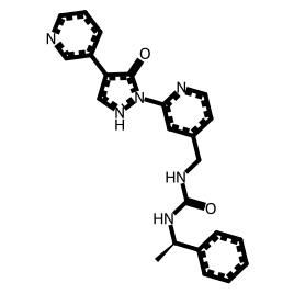 C[C@@H](NC(=O)NCc1ccnc(-n2[nH]cc(-c3cccnc3)c2=O)c1)c1ccccc1